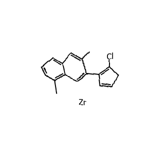 Cc1cc2cccc(C)c2cc1C1=C(Cl)CC=C1.[Zr]